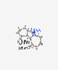 COc1cccc2[nH]c3cccc(OC)c3c12